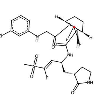 CS(=O)(=O)/C(F)=C/[C@H](C[C@@H]1CCNC1=O)NC(=O)[C@H]1[C@H]2CC[C@H](CC2(F)F)N1C(=O)CNc1cccc(Cl)c1